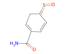 NC(=O)C1=CCC(=S=O)C=C1